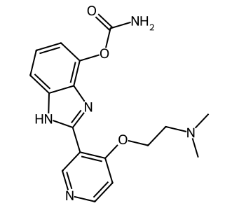 CN(C)CCOc1ccncc1-c1nc2c(OC(N)=O)cccc2[nH]1